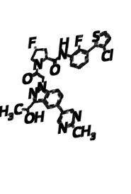 Cc1ncc(-c2ccc3c(c2)c(C(C)O)nn3CC(=O)N2C[C@H](F)C[C@H]2C(=O)Nc2cccc(-c3sccc3Cl)c2F)cn1